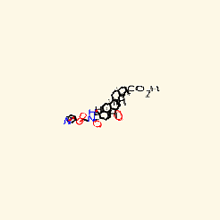 CC1(C)[C@@H](C(=O)NCC(=O)OC2CN3CCC2CC3)CC[C@]2(C)[C@H]3C(=O)C=C4[C@@H]5C[C@@](C)(C(=O)O)CC[C@]5(C)CC[C@@]4(C)[C@]3(C)CC[C@@H]12